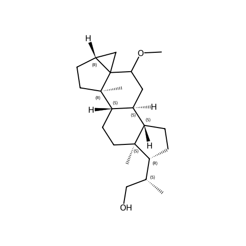 COC1C[C@H]2[C@@H]3CC[C@H]([C@H](C)CO)[C@@]3(C)CC[C@@H]2[C@@]2(C)CC[C@@H]3CC132